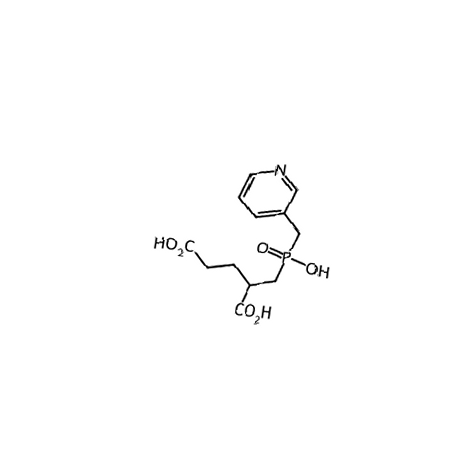 O=C(O)CCC(CP(=O)(O)Cc1cccnc1)C(=O)O